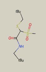 CC(C)(C)CNC(=O)C(SCC(C)(C)C)S(C)(=O)=O